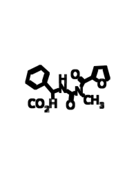 CN(C(=O)NC(C(=O)O)c1ccccc1)C(=O)c1ccco1